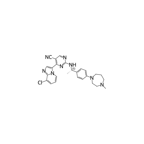 C[C@H](Nc1ncc(C#N)c(-c2cnc3c(Cl)cccn23)n1)c1ccc(N2CCCN(C)CC2)cc1